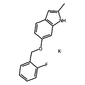 Cc1cc2ccc(OCc3ccccc3F)cc2[nH]1.[K]